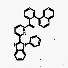 C=C(c1cccc(-c2nc3ccccc3n2-c2ccccc2)n1)c1ccccc1-c1cccc2ccccc12